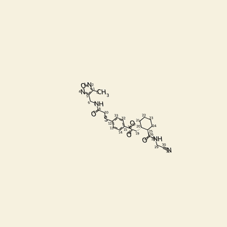 Cc1nonc1CNC(=O)CSc1ccc(S(=O)(=O)C[C@@H]2CCCC[C@H]2C(=O)NCC#N)cc1